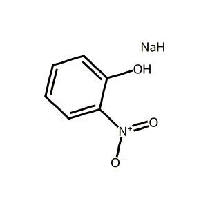 O=[N+]([O-])c1ccccc1O.[NaH]